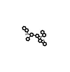 c1ccc(-c2cc(-c3ccc4c(c3)c3ccc5c6ccccc6sc5c3n4-c3cccc4ccccc34)ccc2Nc2ccc3ccccc3c2)cc1